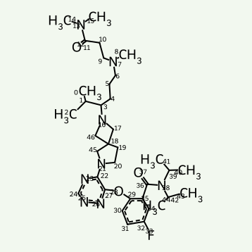 CC(C)C(CCCN(C)CCC(=O)N(C)C)N1CC2(CCN(c3ncnnc3Oc3ccc(F)cc3C(=O)N(C(C)C)C(C)C)C2)C1